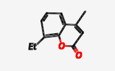 CCc1cccc2c(C)cc(=O)oc12